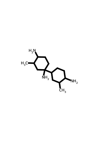 CC1CC(C2(N)CCC(N)C(C)C2)CCC1N